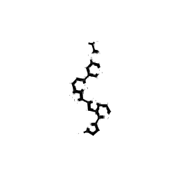 Cc1ccc(-c2nccc3[nH]c(-c4n[nH]c5ccc(-c6cncc(NC(=O)C(C)C)c6)nc45)cc23)s1